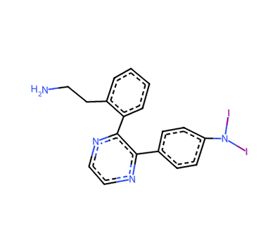 NCCc1ccccc1-c1nccnc1-c1ccc(N(I)I)cc1